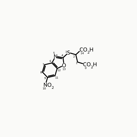 O=C(O)CC(Sc1nc2ccc([N+](=O)[O-])cc2o1)C(=O)O